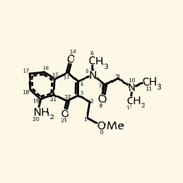 COCCC1=C(N(C)C(=O)CN(C)C)C(=O)c2cccc(N)c2C1=O